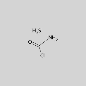 NC(=O)Cl.S